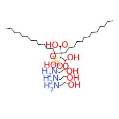 CCCCCCCCCCCCCC(CCCCCCCCCCCCC)(C(=O)O)C(C(=O)O)S(=O)(=O)O.NCCO.NCCO.NCCO